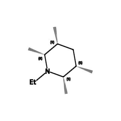 CCN1[C@H](C)[C@H](C)C[C@H](C)[C@@H]1C